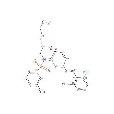 O=C(O)CCC[C@H]1CN(S(=O)(=O)c2cccc(C(F)(F)F)c2)c2cc(/C=C/c3c(F)cccc3Cl)ccc2O1